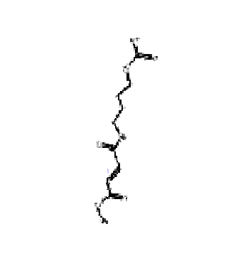 CC(C)OC(=O)/C=C/C(=O)NCCCCOC(=O)C(C)C